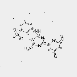 CS(=O)(=O)c1cccc(Nc2nc(N)nc(-c3cc(Cl)cc(Cl)n3)n2)c1